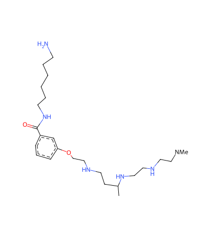 CNCCNCCNC(C)CCNCCOc1cccc(C(=O)NCCCCCCN)c1